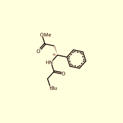 COC(=O)C[C@@H](NC(=O)CC(C)(C)C)c1ccccc1